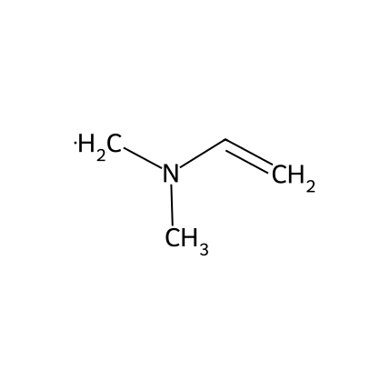 [CH2]N(C)C=C